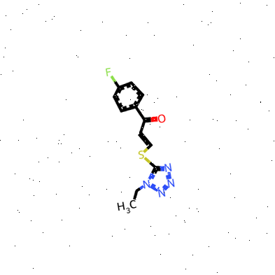 CCn1nnnc1S/C=C/C(=O)c1ccc(F)cc1